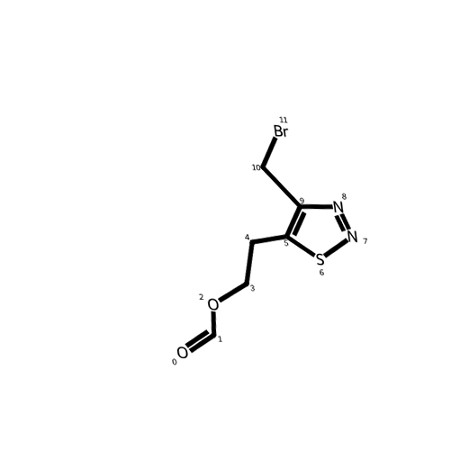 O=COCCc1snnc1CBr